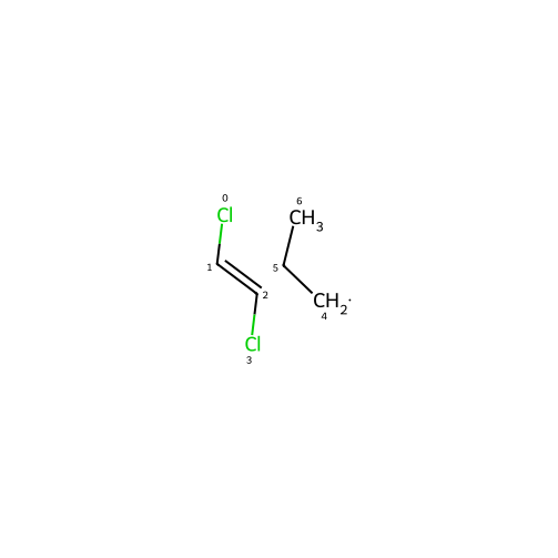 ClC=CCl.[CH2]CC